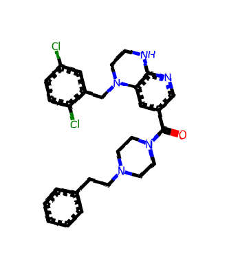 O=C(c1cnc2c(c1)N(Cc1cc(Cl)ccc1Cl)CCN2)N1CCN(CCc2ccccc2)CC1